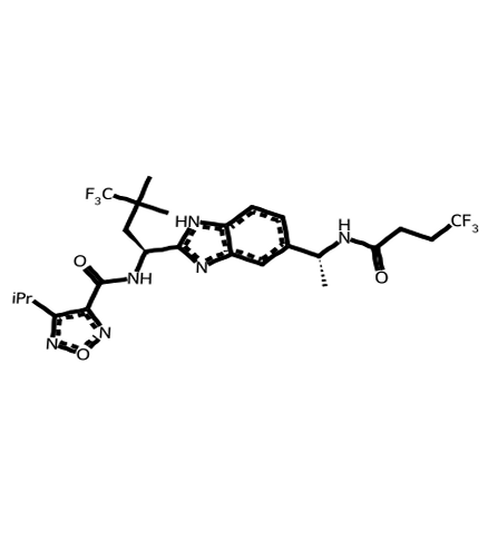 CC(C)c1nonc1C(=O)N[C@@H](CC(C)(C)C(F)(F)F)c1nc2cc([C@@H](C)NC(=O)CCC(F)(F)F)ccc2[nH]1